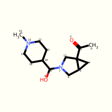 CC(=O)C12CC1CN(C(O)C1CCN(C)CC1)C2